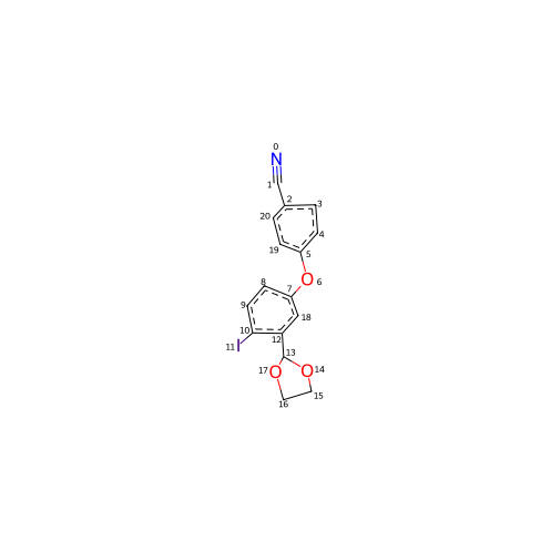 N#Cc1ccc(Oc2ccc(I)c(C3OCCO3)c2)cc1